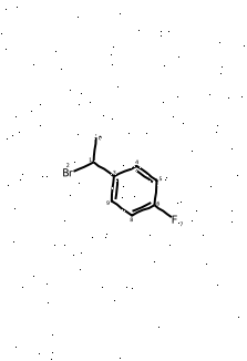 [CH2]C(Br)c1ccc(F)cc1